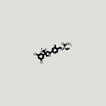 CCN(/N=C/c1ccc(C2=NCC(c3cc(Cl)cc(Cl)c3)(C(F)(F)F)C2)cc1C)C(N)=O